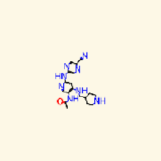 CC(=O)Nc1cnc(Nc2cnc(C#N)cn2)cc1NCC1CCNCC1